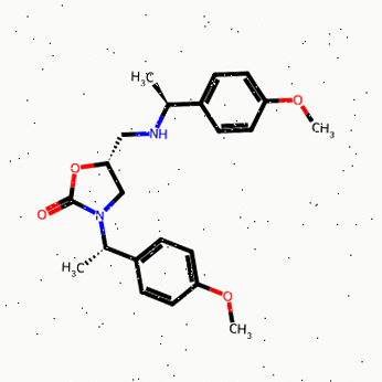 COc1ccc([C@H](C)NC[C@@H]2CN([C@@H](C)c3ccc(OC)cc3)C(=O)O2)cc1